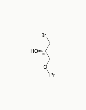 CC(C)OC[C@@H](O)CBr